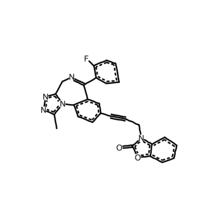 Cc1nnc2n1-c1ccc(C#CCn3c(=O)oc4ccccc43)cc1C(c1ccccc1F)=NC2